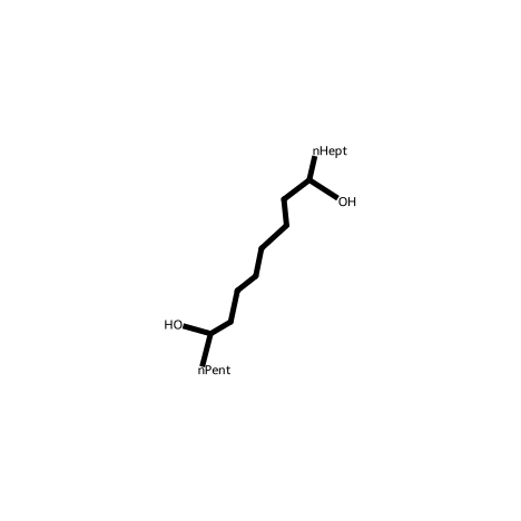 CCCCCCCC(O)CCCCCCC(O)CCCCC